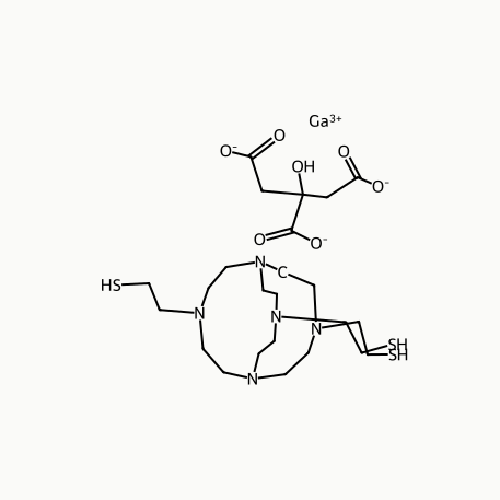 O=C([O-])CC(O)(CC(=O)[O-])C(=O)[O-].SCCN1CCN2CCN(CCS)CCN(CC1)CCN(CCS)CC2.[Ga+3]